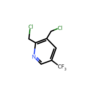 FC(F)(F)c1cnc(CCl)c(CCl)c1